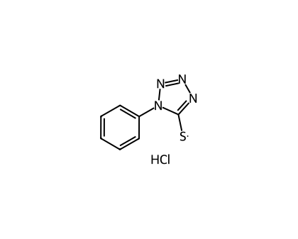 Cl.[S]c1nnnn1-c1ccccc1